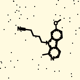 COc1ccc2c3ccnc(C)c3n(CCCCC#N)c2c1